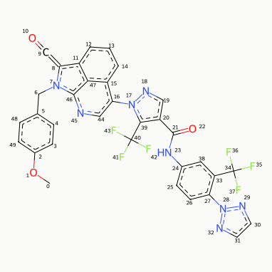 COc1ccc(Cn2c(=C=O)c3cccc4c(-n5ncc(C(=O)Nc6ccc(-n7nccn7)c(C(F)(F)F)c6)c5C(F)(F)F)cnc2c43)cc1